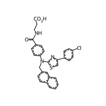 O=C(O)CCNC(=O)c1ccc(N(Cc2ccc3ccccc3c2)c2nc(-c3ccc(Cl)cc3)cs2)cc1